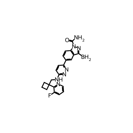 Bc1nn(C(N)=O)c2ccc(-c3ccc(NCC4(c5ncccc5F)CCC4)nn3)cc12